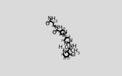 CC(C)(Nc1ncc(-n2cc(C(=O)NCCC(N)=O)cn2)cn1)c1ncccc1Cl